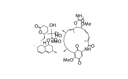 CCC(C)(C)C(=O)O[C@H]1C[C@@H](C)C=C2C=C[C@H](C)[C@H](CC[C@@H]3C[C@@H](O)CC(=O)O3)[C@H]21.COC1=C2C[C@@H](C)C[C@H](OC)[C@H](O)[C@@H](C)/C=C(\C)[C@H](OC(N)=O)[C@@H](OC)/C=C\C=C(/C)C(=O)NC(=CC1=O)C2=O